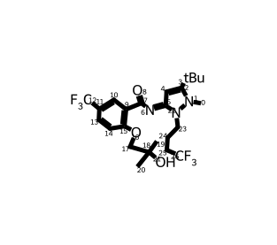 Cn1c(C(C)(C)C)c/c(=N\C(=O)c2cc(C(F)(F)F)ccc2OCC(C)(C)O)n1CCCC(F)(F)F